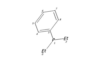 CCP(CC)c1cc[c]cc1